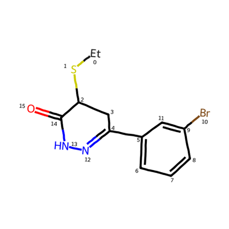 CCSC1CC(c2cccc(Br)c2)=NNC1=O